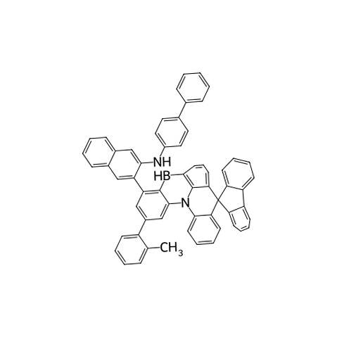 Cc1ccccc1-c1cc(-c2cc3ccccc3cc2Nc2ccc(-c3ccccc3)cc2)c2c(c1)N1c3ccccc3C3(c4ccccc4-c4ccccc43)c3cccc(c31)B2